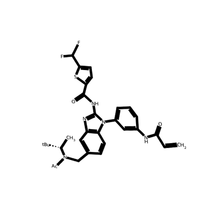 C=CC(=O)Nc1cccc(-n2c(NC(=O)c3ccc(C(F)F)s3)nc3cc(CN(C(C)=O)[C@@H](C)C(C)(C)C)ccc32)c1